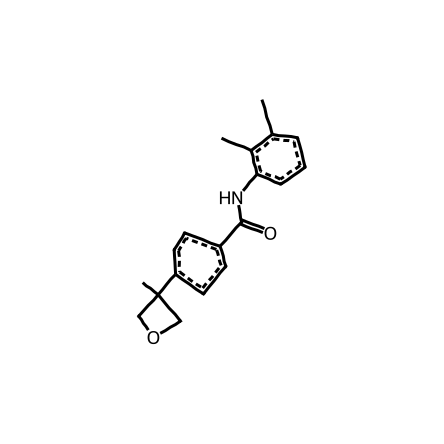 Cc1cccc(NC(=O)c2ccc(C3(C)COC3)cc2)c1C